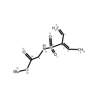 C=C/C(=C\C)S(=O)(=O)NCC(=O)OC(C)(C)C